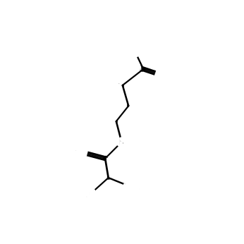 CC(C)C(=O)NCCCC(=O)O